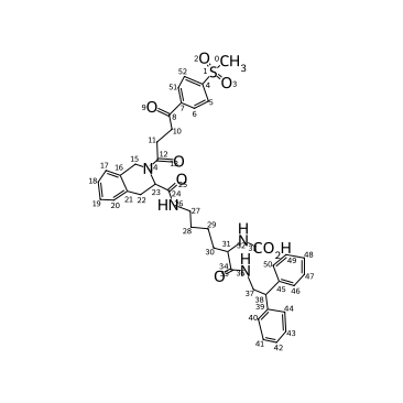 CS(=O)(=O)c1ccc(C(=O)CCC(=O)N2Cc3ccccc3CC2C(=O)NCCCCC(NC(=O)O)C(=O)NCC(c2ccccc2)c2ccccc2)cc1